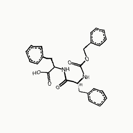 O=C(N[C@H](Cc1ccccc1)C(=O)NC(Cc1ccccc1)C(=O)O)OCc1ccccc1